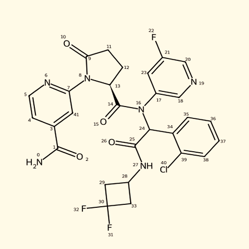 NC(=O)c1ccnc(N2C(=O)CC[C@H]2C(=O)N(c2cncc(F)c2)C(C(=O)NC2CC(F)(F)C2)c2ccccc2Cl)c1